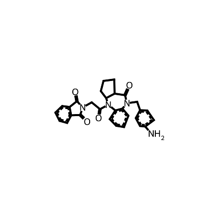 Nc1ccc(CN2C(=O)C3CCCC3N(C(=O)CN3C(=O)c4ccccc4C3=O)c3ccccc32)cc1